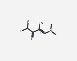 CN(C)/C=C(\C#N)C(=O)C(F)F